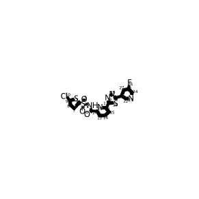 O=C(NS(=O)(=O)c1ccc(Cl)s1)c1cccc(-c2nnc(-c3cncc(F)c3)s2)n1